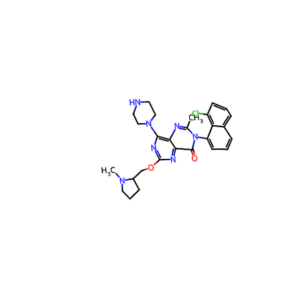 Cc1nc2c(N3CCNCC3)nc(OCC3CCCN3C)nc2c(=O)n1-c1cccc2cccc(Cl)c12